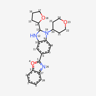 c1ccc2oc(-c3ccc4c(c3)NC(C3CCCO3)N4C3CCOCC3)nc2c1